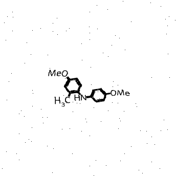 COc1ccc(Nc2ccc(OC)cc2C)cc1